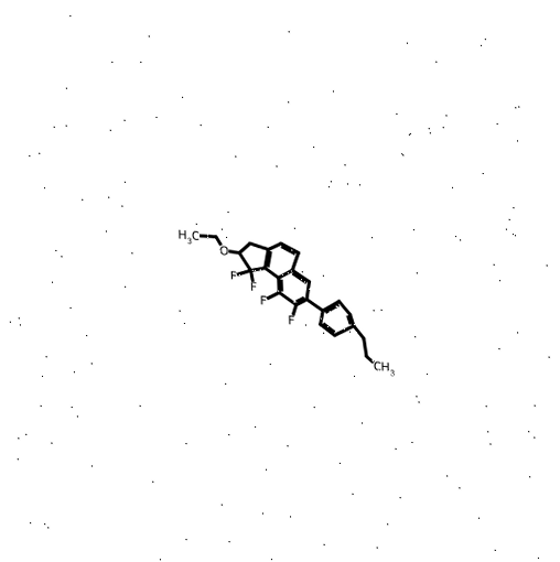 CCCc1ccc(-c2cc3ccc4c(c3c(F)c2F)C(F)(F)C(OCC)C4)cc1